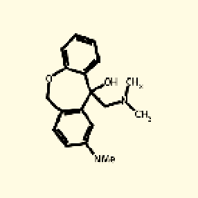 CNc1ccc2c(c1)C(O)(CN(C)C)c1ccccc1OC2